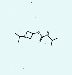 CC(C)NC(=O)OC1CN(C(C)C)C1